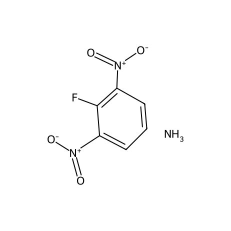 N.O=[N+]([O-])c1cccc([N+](=O)[O-])c1F